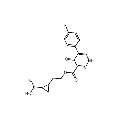 O=C(OCCC1CC1B(O)O)c1n[nH]cc(-c2ccc(F)cc2)c1=O